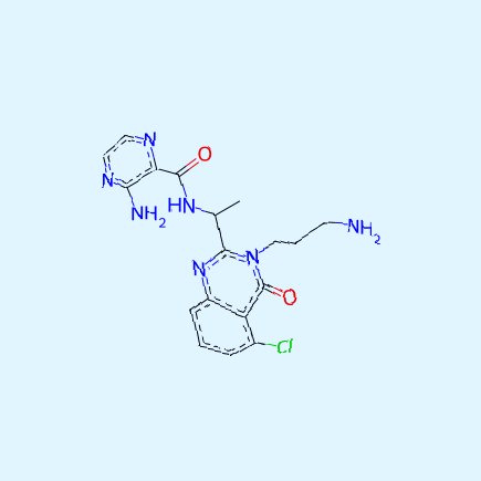 CC(NC(=O)c1nccnc1N)c1nc2cccc(Cl)c2c(=O)n1CCCN